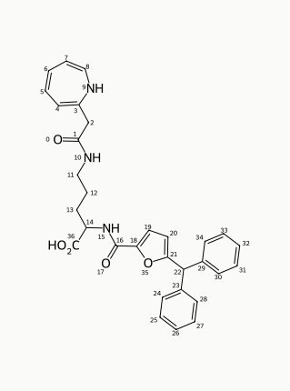 O=C(CC1=CC=CC=CN1)NCCCC(NC(=O)c1ccc(C(c2ccccc2)c2ccccc2)o1)C(=O)O